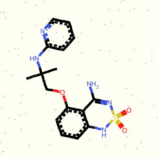 CC(C)(COc1cccc2c1C(N)=NS(=O)(=O)N2)Nc1ccccn1